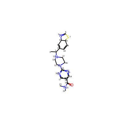 CC(C1=CC2N=CSC2C=C1)N1CCN(c2ncc(C(=O)N(C)C)cn2)CC1